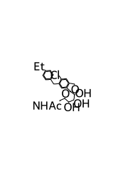 CCc1ccc(Cc2cc3c(cc2Cl)COC32OC(CNC(C)=O)C(O)C(O)C2O)cc1